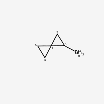 BC1CC12CC2